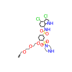 C#CCOCCOCCOc1ccc(S(=O)(=O)Nc2ccc(Cl)c3c(Cl)c[nH]c23)cc1S(=O)(=O)N1CCNCC1